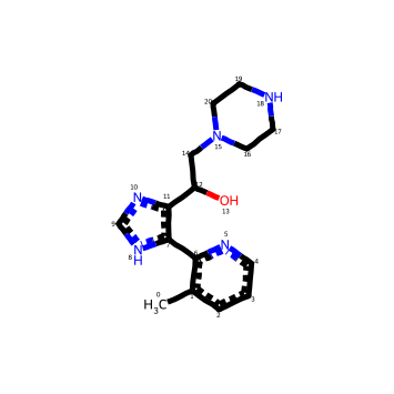 Cc1cccnc1-c1[nH]cnc1C(O)CN1CCNCC1